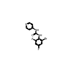 O=C(Nc1ccncc1)Nc1c(F)cc(F)cc1Br